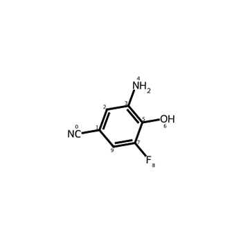 N#Cc1cc(N)c(O)c(F)c1